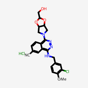 COc1ccc(CNc2nnc(N3CC4OC(CO)OC4C3)c3ccc(C#N)cc23)cc1Cl.Cl